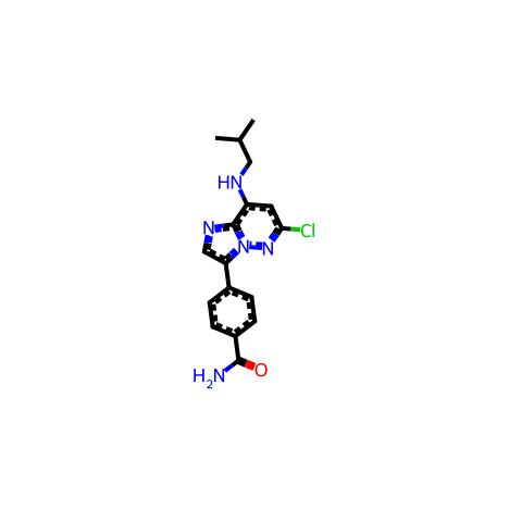 CC(C)CNc1cc(Cl)nn2c(-c3ccc(C(N)=O)cc3)cnc12